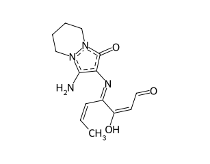 C\C=C/C(=N\c1c(N)n2n(c1=O)CCCC2)C(/O)=C\C=O